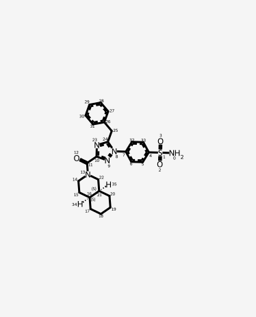 NS(=O)(=O)c1ccc(-n2nc(C(=O)N3CC[C@@H]4CCCC[C@@H]4C3)nc2Cc2ccccc2)cc1